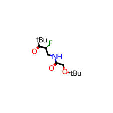 CC(C)(C)OCC(=O)NC[C@H](F)C(=O)C(C)(C)C